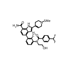 CSN1CC=C(c2cc3c(-c4cccc(N(CCO)C(=O)c5ccc(C(F)F)cc5)c4C)ccc(C(N)=O)c3[nH]2)CC1